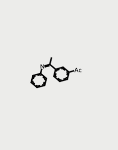 CC(=O)c1cccc(/C(C)=N\c2ccccc2)c1